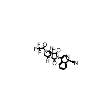 N#Cc1ncc(N2C(=O)[C@@H]3[C@@H]4C[C@@H](CN4C(=O)C(F)(F)F)N3C2=O)c2ccccc12